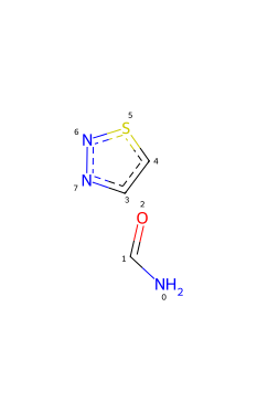 NC=O.c1csnn1